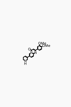 COc1ccc(-c2cc(=O)n3cc(C4=CCCNC4)ccc3n2)cc1OC